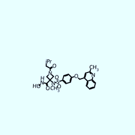 Cc1cc(COc2ccc(S(=O)(=O)N(C)C3(C(=O)NO)CN(C(=O)CC(C)C)C3)cc2)c2ccccc2n1